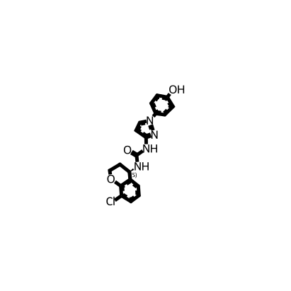 O=C(Nc1ccn(-c2ccc(O)cc2)n1)N[C@H]1CCOc2c(Cl)cccc21